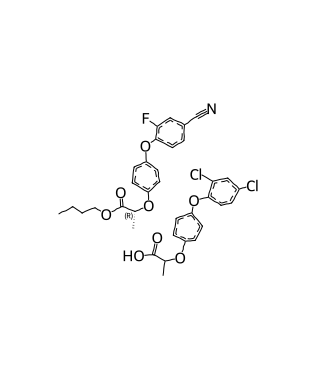 CC(Oc1ccc(Oc2ccc(Cl)cc2Cl)cc1)C(=O)O.CCCCOC(=O)[C@@H](C)Oc1ccc(Oc2ccc(C#N)cc2F)cc1